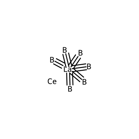 [B]#[La](#[B])(#[B])(#[B])(#[B])#[B].[Ce]